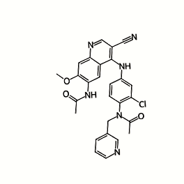 COc1cc2ncc(C#N)c(Nc3ccc(N(Cc4cccnc4)C(C)=O)c(Cl)c3)c2cc1NC(C)=O